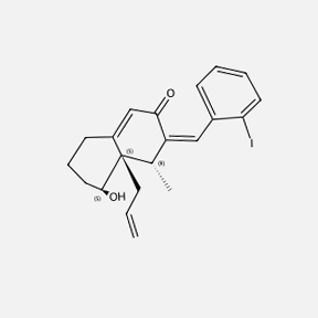 C=CC[C@@]12C(=CC(=O)C(=Cc3ccccc3I)[C@@H]1C)CCC[C@@H]2O